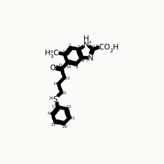 Cc1cc2[nH]c(C(=O)O)nc2cc1C(=O)CCCSc1ccccc1